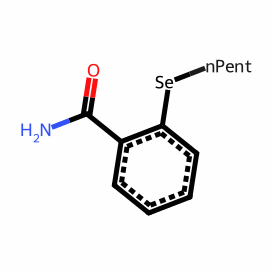 CCCCC[Se]c1ccccc1C(N)=O